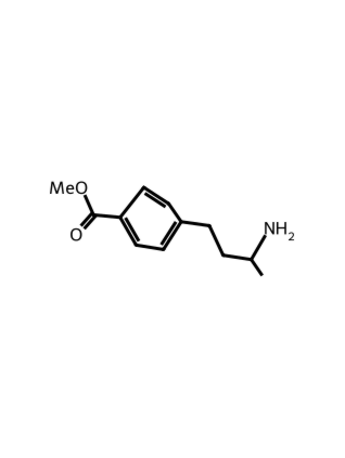 COC(=O)c1ccc(CCC(C)N)cc1